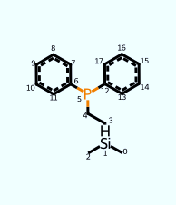 C[SiH](C)CCP(c1ccccc1)c1ccccc1